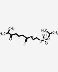 CC(C)OP(=O)(O)OCCNC(=O)CCCC(=O)C(C)C